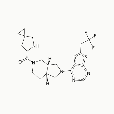 O=C([C@@H]1CC2(CC2)CN1)N1CC[C@H]2CN(c3ncnc4sc(CC(F)(F)F)cc34)C[C@H]2C1